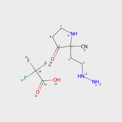 N#CC1(CCNN)NCCC1=O.O=C(O)C(F)(F)F